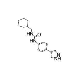 O=C(NCC1CCCCC1)Nc1ccc(-c2cn[nH]c2)cc1